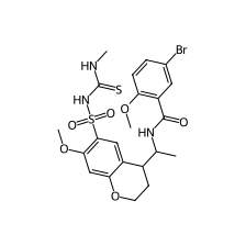 CNC(=S)NS(=O)(=O)c1cc2c(cc1OC)OCCC2C(C)NC(=O)c1cc(Br)ccc1OC